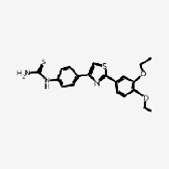 CCOc1ccc(-c2nc(-c3ccc(NC(N)=S)cc3)cs2)cc1OCC